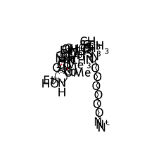 CC[C@]1(O)CCC[C@](C(=O)OC)(c2cc3c(cc2OC)N(C)[C@H]2[C@@](O)(C(=O)NCCC[Si](C)(C)O[Si](C)(C)CSc4ncc(COCCOCCOCCOCCOCCOCCN=[N+]=[N-])cn4)[C@H](O)[C@]4(CC)C=CCN5CC[C@]32[C@@H]54)c2[nH]c3ccccc3c2CCNC1